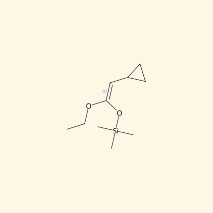 CCO/C(=C/C1CC1)O[Si](C)(C)C